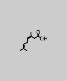 CC(C)=CCC=C(C)CC(=O)O